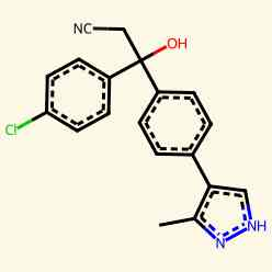 Cc1n[nH]cc1-c1ccc(C(O)(CC#N)c2ccc(Cl)cc2)cc1